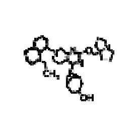 CCc1cccc2cccc(N3CCc4c(nc(OCC56CCCN5CCC6)nc4N4CC5CC(O)CC4C5)C3)c12